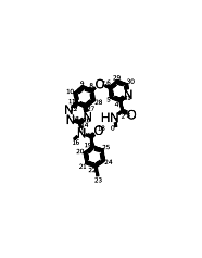 CNC(=O)c1cc(Oc2ccc3nnc(N(C)C(=O)c4ccc(C)cc4)nc3c2)ccn1